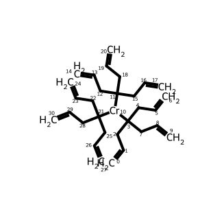 C=CC[C](CC=C)(CC=C)[Cr]([C](CC=C)(CC=C)CC=C)[C](CC=C)(CC=C)CC=C